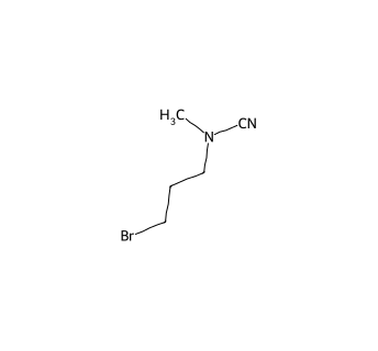 CN(C#N)CCCBr